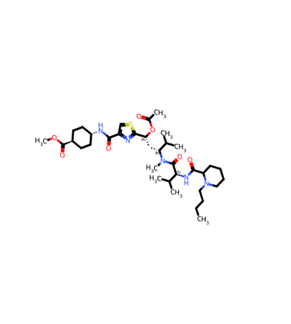 CCCCN1CCCCC1C(=O)N[C@H](C(=O)N(C)[C@H](C[C@@H](OC(C)=O)c1nc(C(=O)N[C@H]2CC[C@H](C(=O)OC)CC2)cs1)C(C)C)C(C)C